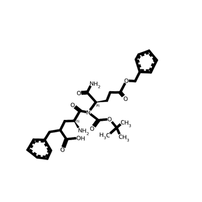 CC(C)(C)OC(=O)N(C(=O)[C@@H](N)CC(Cc1ccccc1)C(=O)O)[C@H](CCC(=O)OCc1ccccc1)C(N)=O